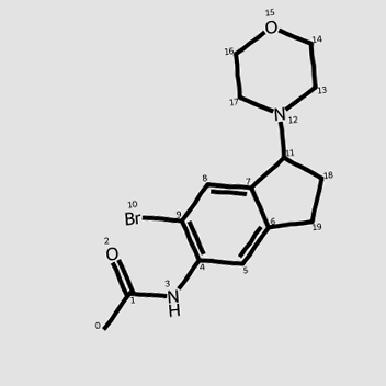 CC(=O)Nc1cc2c(cc1Br)C(N1CCOCC1)CC2